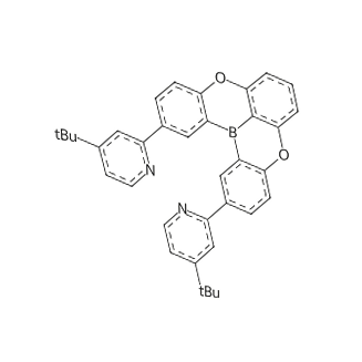 CC(C)(C)c1ccnc(-c2ccc3c(c2)B2c4cc(-c5cc(C(C)(C)C)ccn5)ccc4Oc4cccc(c42)O3)c1